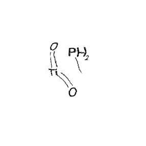 CP.[O]=[Ti]=[O]